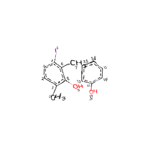 Cc1ccc(I)c(C)c1O.Oc1ccccc1